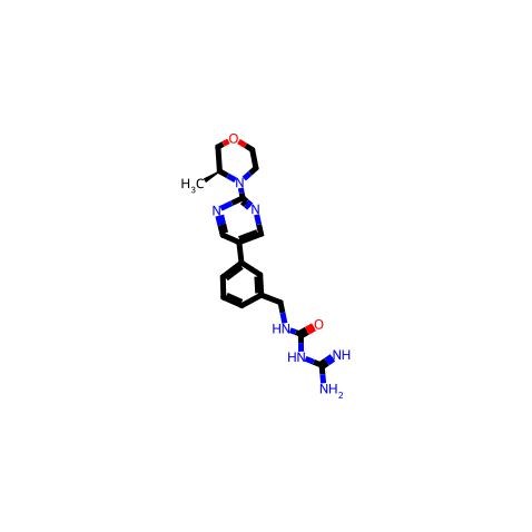 C[C@H]1COCCN1c1ncc(-c2cccc(CNC(=O)NC(=N)N)c2)cn1